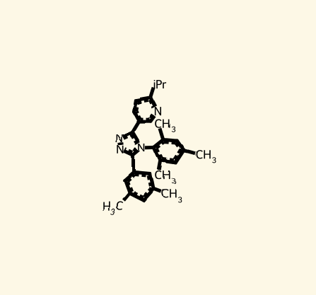 Cc1cc(C)cc(-c2nnc(-c3ccc(C(C)C)nc3)n2-c2c(C)cc(C)cc2C)c1